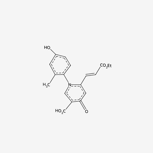 CCOC(=O)C=Cc1cc(=O)c(C(=O)O)cn1-c1ccc(O)cc1C